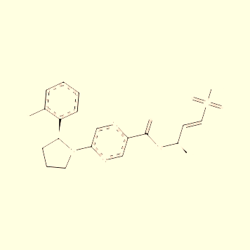 C[C@H](/C=C/S(C)(=O)=O)NC(=O)c1cnc(N2CCC[C@H]2c2ccccc2Cl)cn1